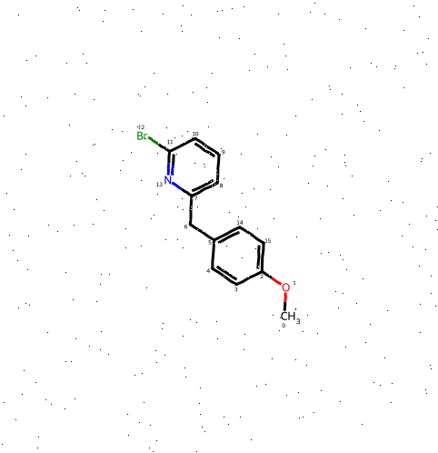 COc1ccc(Cc2cccc(Br)n2)cc1